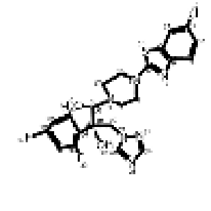 C[C@@H](N1CCN(c2nc3ccc(Cl)cc3s2)CC1)[C@](O)(Cn1cncn1)c1ccc(F)cc1F